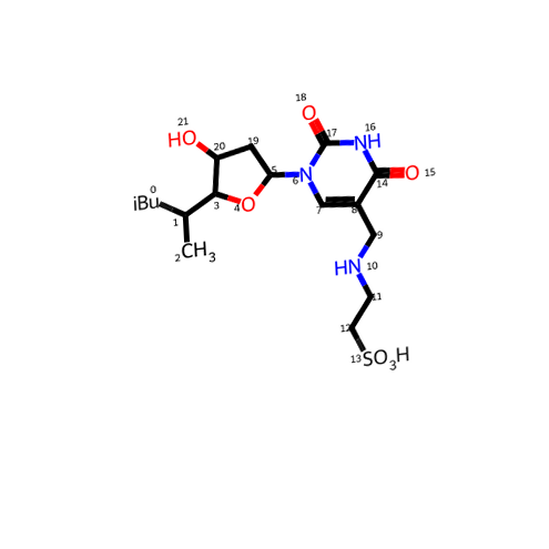 CCC(C)C(C)C1OC(n2cc(CNCCS(=O)(=O)O)c(=O)[nH]c2=O)CC1O